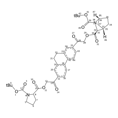 CC(C)(C)OC(=O)N1CCCC1C(=O)OCC(=O)c1ccc2c(c1)CCc1cc(C(=O)COC(=O)[C@@H]3[C@H]4CC[C@H](C4)N3C(=O)OC(C)(C)C)ccc1-2